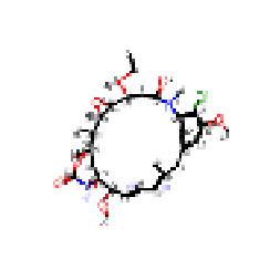 CCO[C@H]1CC(=O)N(C)c2cc(cc(OC)c2Cl)C/C(C)=C/C=C/[C@@H](OC)[C@@]2(O)C[C@H](OC(=O)N2)[C@@H](C)[C@@H]2O[C@@]12C